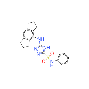 O=S(=O)(Nc1ccccc1)c1nnc(Nc2c3c(cc4c2CCC4)CCC3)[nH]1